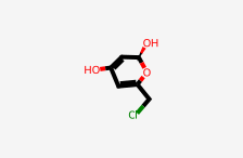 OC1=C[C@@H](O)OC(CCl)=C1